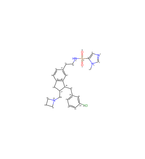 Cn1cncc1S(=O)(=O)NCCc1ccc2c(c1)C(Cc1cccc(Cl)c1)C(CN1CCC1)C2